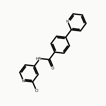 O=C(Nc1ccnc(Cl)c1)c1ccc(-c2ccccn2)cc1